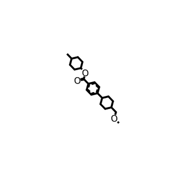 COCC1CCC(c2ccc(C(=O)OC3CCC(C)CC3)cc2)CC1